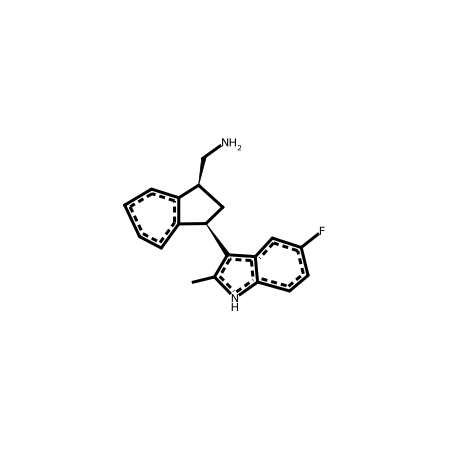 Cc1[nH]c2ccc(F)cc2c1[C@@H]1C[C@H](CN)c2ccccc21